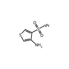 CCCS(=O)(=O)c1cscc1N